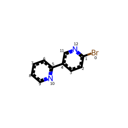 Brc1ccc(-c2ccccn2)cn1